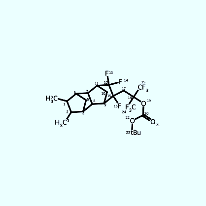 CC1C(C)C2CC1C1C2C2CC1C(F)(F)C2(F)CC(OC(=O)OC(C)(C)C)(C(F)(F)F)C(F)(F)F